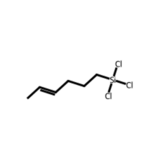 CC=CCCC[Si](Cl)(Cl)Cl